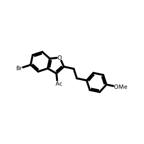 COc1ccc(CCc2oc3ccc(Br)cc3c2C(C)=O)cc1